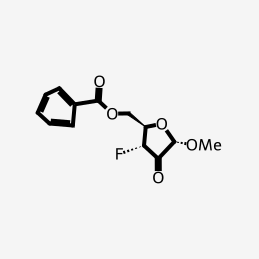 CO[C@H]1O[C@H](COC(=O)c2ccccc2)[C@@H](F)C1=O